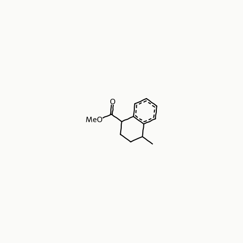 COC(=O)C1CCC(C)c2ccccc21